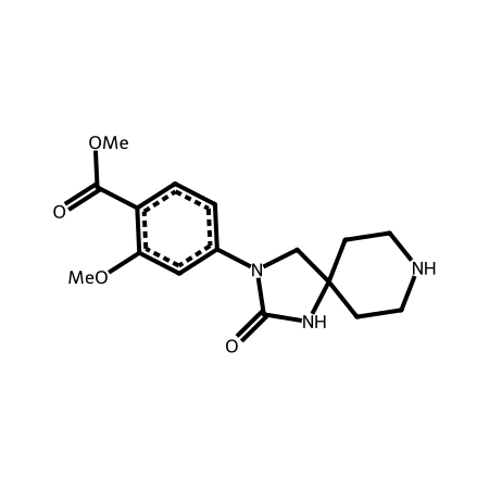 COC(=O)c1ccc(N2CC3(CCNCC3)NC2=O)cc1OC